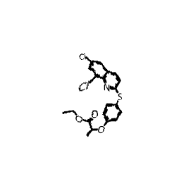 CCOC(=O)C(C)Oc1ccc(Sc2ccc3cc(Cl)cc(Cl)c3n2)cc1